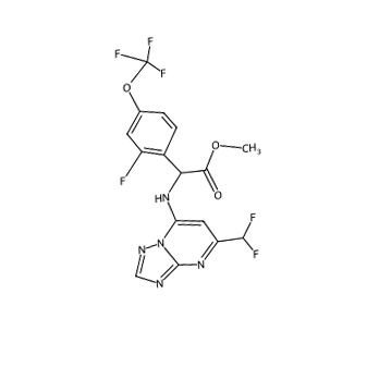 COC(=O)C(Nc1cc(C(F)F)nc2ncnn12)c1ccc(OC(F)(F)F)cc1F